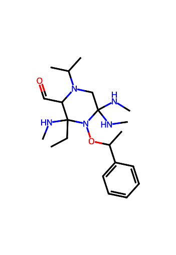 CCC1(NC)C(C=O)N(C(C)C)CC(NC)(NC)N1OC(C)c1ccccc1